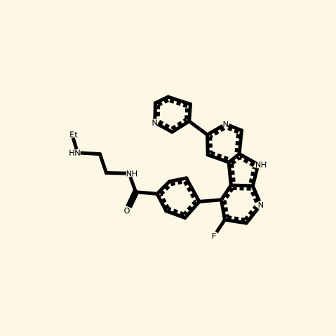 CCNCCNC(=O)c1ccc(-c2c(F)cnc3[nH]c4cnc(-c5cccnc5)cc4c23)cc1